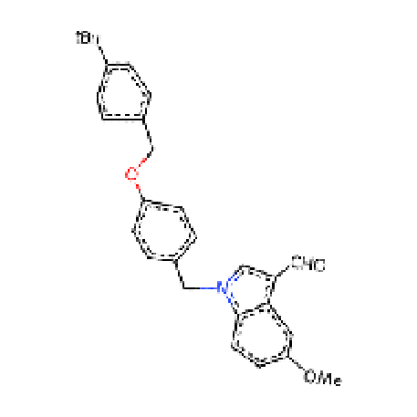 COc1ccc2c(c1)c(C=O)cn2Cc1ccc(OCc2ccc(C(C)(C)C)cc2)cc1